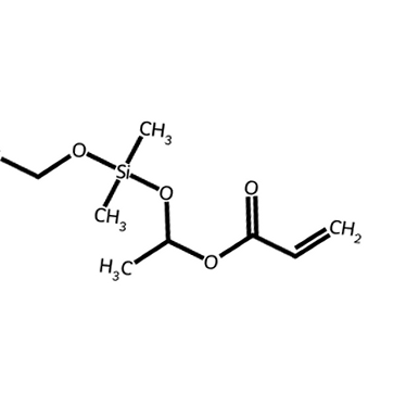 C=CC(=O)OC(C)O[Si](C)(C)OCC